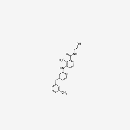 Cc1cccc(Cc2ccnc(Nc3cccc(C(=O)NCCO)c3C)c2)c1